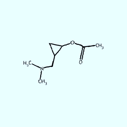 CC(=O)OC1CC1CN(C)C